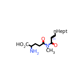 CCCCCCC/C=C/C(=O)N(C)C(=O)CCC(N)C(=O)O